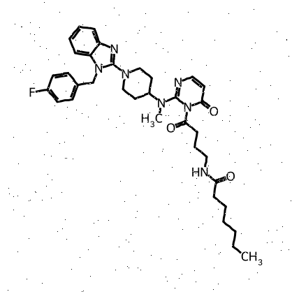 CCCCCCC(=O)NCCCC(=O)n1c(N(C)C2CCN(c3nc4ccccc4n3Cc3ccc(F)cc3)CC2)nccc1=O